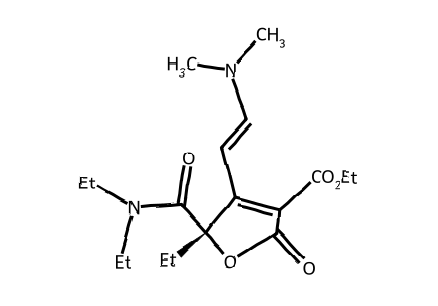 CCOC(=O)C1=C(/C=C/N(C)C)[C@@](CC)(C(=O)N(CC)CC)OC1=O